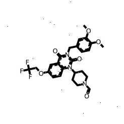 COc1ccc(Cn2c(=O)c3cc(OCC(F)(F)F)ccc3n(C3CCN(C=O)CC3)c2=O)cc1OC